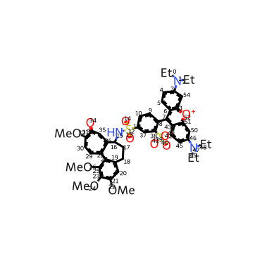 CCN(CC)c1ccc2c(-c3ccc(S(=O)(=O)NC4CCc5cc(OC)c(OC)c(OC)c5-c5ccc(OC)c(=O)cc54)cc3S(=O)(=O)[O-])c3ccc(N(CC)CC)cc3[o+]c2c1